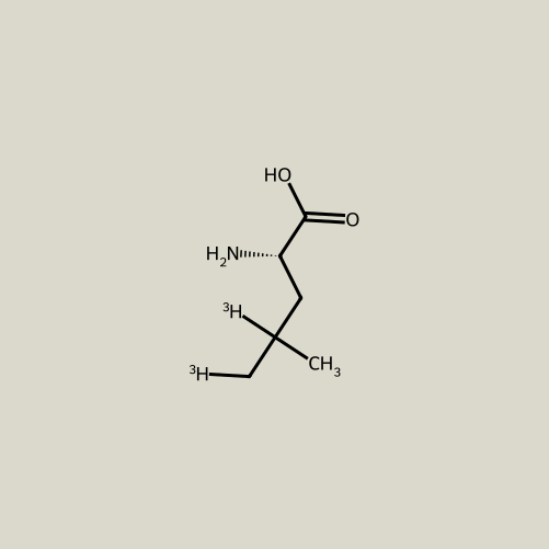 [3H]CC([3H])(C)C[C@H](N)C(=O)O